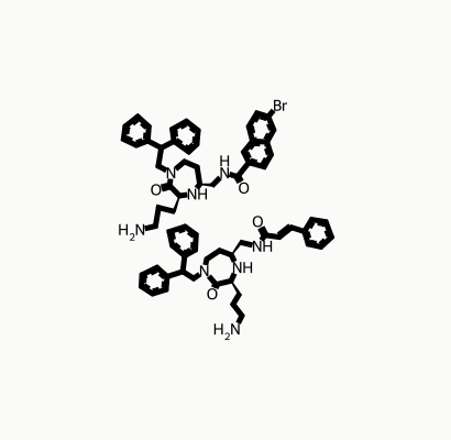 NCCC[C@@H]1N[C@H](CNC(=O)/C=C/c2ccccc2)CCN(CC(c2ccccc2)c2ccccc2)C1=O.NCCC[C@@H]1N[C@H](CNC(=O)c2ccc3cc(Br)ccc3c2)CCN(CC(c2ccccc2)c2ccccc2)C1=O